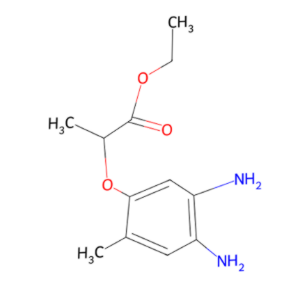 CCOC(=O)C(C)Oc1cc(N)c(N)cc1C